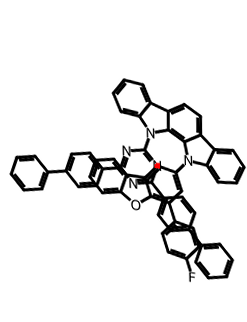 Fc1ccc(-c2cc(-n3c4ccccc4c4ccc5c6ccccc6n(-c6nc(-c7ccc(-c8ccccc8)cc7)nc(-c7ccc(-c8ccccc8)cc7)n6)c5c43)cc3c2oc2ccccc23)cc1